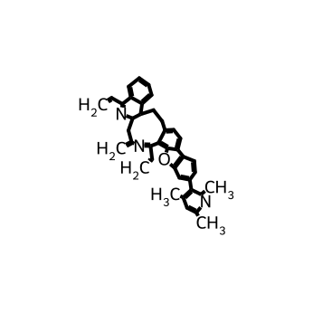 C=CC1=NC2CC(=C)/N=C(/C=C)c3c(ccc4c3oc3cc(-c5c(C)cc(C)nc5C)ccc34)CCC2c2ccccc21